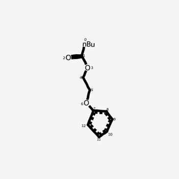 [CH2]CCCC(=O)OCCOc1ccccc1